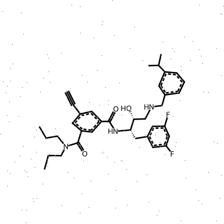 C#Cc1cc(C(=O)N[C@@H](Cc2cc(F)cc(F)c2)[C@H](O)CNCc2cccc(C(C)C)c2)cc(C(=O)N(CCC)CCC)c1